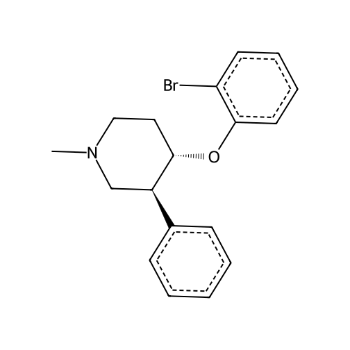 CN1CC[C@H](Oc2ccccc2Br)[C@@H](c2ccccc2)C1